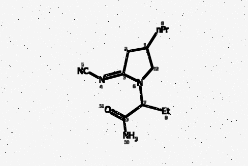 CCCC1CC(=NC#N)N(C(CC)C(N)=O)C1